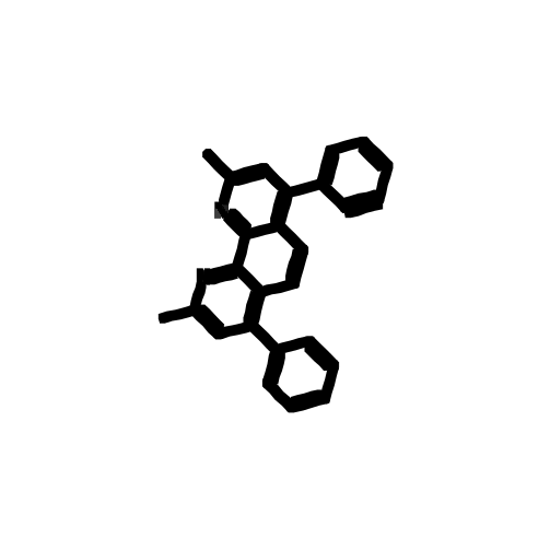 Cc1cc(-c2c#cccc2)c2ccc3c(-c4ccccc4)cc(C)nc3c2n1